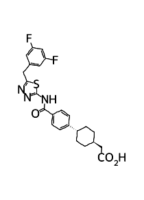 O=C(O)C[C@H]1CC[C@H](c2ccc(C(=O)Nc3nnc(Cc4cc(F)cc(F)c4)s3)cc2)CC1